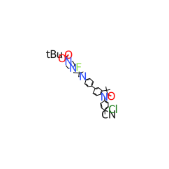 CC(C)(C)OC(=O)N1CCN(CC2(F)CN(c3ccc(-c4ccc5c(c4)C(C)(C)C(=O)N5c4ccc(C#N)c(Cl)c4)cc3)C2)CC1